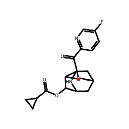 O=C(OC1C2CC3CC(N2)C1N(C(=O)c1ccc(F)cn1)C3)C1CC1